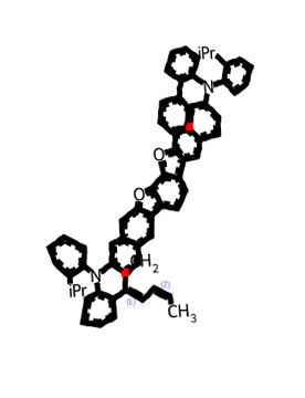 C=C/C(=C\C=C/C)c1ccccc1N(c1ccc2cc3c(cc2c1)oc1c3ccc2c3cc4ccc(N(c5ccccc5-c5ccccc5)c5ccccc5C(C)C)cc4cc3oc21)c1ccccc1C(C)C